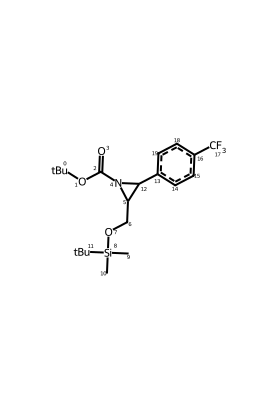 CC(C)(C)OC(=O)N1C(CO[Si](C)(C)C(C)(C)C)C1c1ccc(C(F)(F)F)cc1